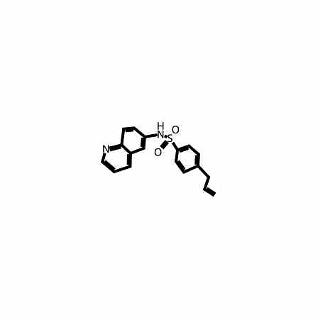 C=CCc1ccc(S(=O)(=O)Nc2ccc3ncccc3c2)cc1